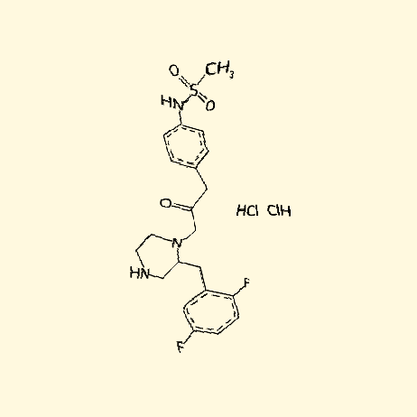 CS(=O)(=O)Nc1ccc(CC(=O)CN2CCNCC2Cc2cc(F)ccc2F)cc1.Cl.Cl